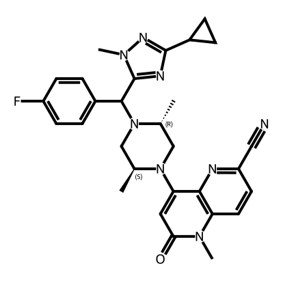 C[C@@H]1CN(c2cc(=O)n(C)c3ccc(C#N)nc23)[C@@H](C)CN1C(c1ccc(F)cc1)c1nc(C2CC2)nn1C